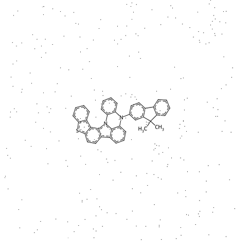 CC1(C)c2ccccc2-c2ccc(N3c4ccccc4-n4c5c3cccc5c3ccc5sc6ccccc6c5c34)cc21